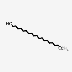 C.OCCCCCCCCCCCCCCCCCCO